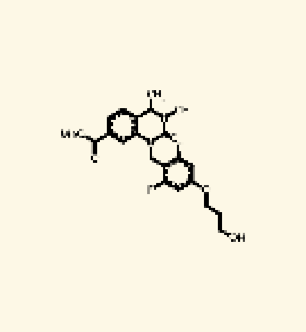 COC(=O)c1ccc2c(c1)N(Cc1c(F)cc(OCCCO)cc1F)C(=O)N(C)C2C